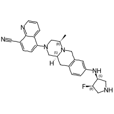 C[C@@H]1CN(c2ccc(C#N)c3ncccc23)C[C@@H]2Cc3ccc(N[C@H]4CNC[C@H]4F)cc3CN21